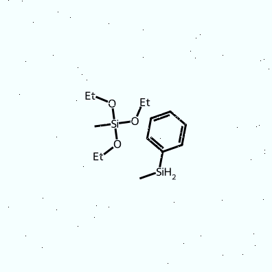 CCO[Si](C)(OCC)OCC.C[SiH2]c1ccccc1